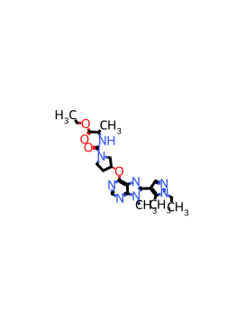 CCOC(=O)C(C)NC(=O)N1CC[C@H](Oc2ncnc3c2nc(-c2cnn(CC)c2C)n3C)C1